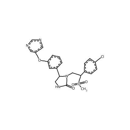 CS(=O)(=O)C(CN1C(=O)NCC1c1cccc(Oc2cncnc2)c1)c1ccc(Cl)cc1